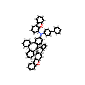 c1ccc(-c2ccc(N(c3ccc4c(c3)-c3ccccc3-c3ccccc3C43c4ccccc4-c4cc5oc6ccccc6c5cc43)c3cccc4c3oc3ccccc34)cc2)cc1